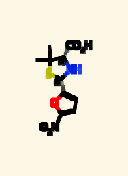 CC1(C)S[C@@H](c2ccc([N+](=O)[O-])o2)N[C@H]1C(=O)O